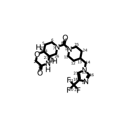 O=C1CO[C@H]2CCN(C(=O)N3CCC(Cn4cnc(C(F)(F)F)c4)CC3)C[C@H]2N1